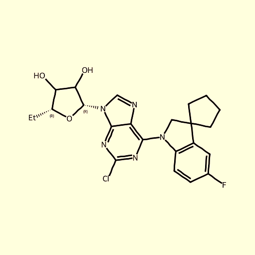 CC[C@H]1O[C@@H](n2cnc3c(N4CC5(CCCC5)c5cc(F)ccc54)nc(Cl)nc32)C(O)C1O